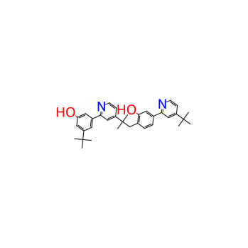 CC(C)(C)c1cc(O)cc(-c2cc(C(C)(C)Cc3ccc(-c4cc(C(C)(C)C)ccn4)cc3O)ccn2)c1